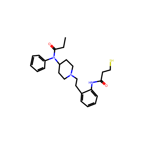 CCC(=O)N(c1ccccc1)C1CCN(CCc2ccccc2NC(=O)CCS)CC1